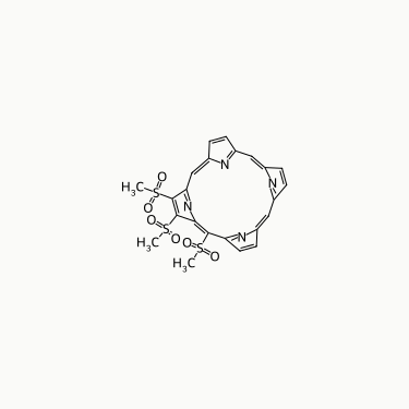 CS(=O)(=O)C1=C2N=C(C=C3C=CC(=N3)C=C3C=CC(=N3)C=C3C=CC1=N3)C(S(C)(=O)=O)=C2S(C)(=O)=O